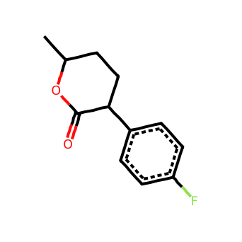 CC1CCC(c2ccc(F)cc2)C(=O)O1